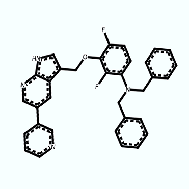 Fc1ccc(N(Cc2ccccc2)Cc2ccccc2)c(F)c1OCc1c[nH]c2ncc(-c3cccnc3)cc12